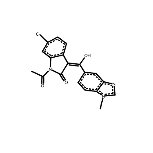 CC(=O)N1C(=O)C(=C(O)c2ccc3c(c2)ncn3C)c2ccc(Cl)cc21